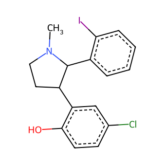 CN1CCC(c2cc(Cl)ccc2O)C1c1ccccc1I